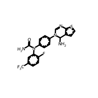 NC(=O)N(c1ccc(N2C=Nc3sccc3C2N)cc1)c1cc(C(F)(F)F)ccc1F